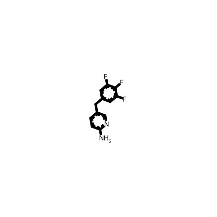 Nc1ccc(Cc2cc(F)c(F)c(F)c2)cn1